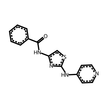 O=C(Nc1csc(Nc2ccncc2)n1)c1ccccc1